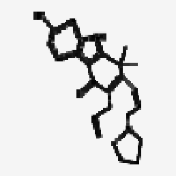 C=CCC1=C(/C=C\CN2CCCC2)C(C)(C)c2[nH]c3cc(C#N)ccc3c2C1=O